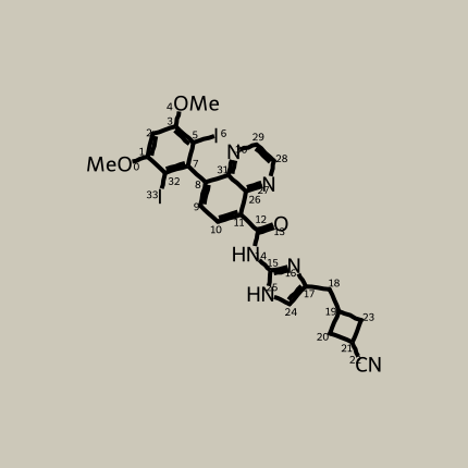 COc1cc(OC)c(I)c(-c2ccc(C(=O)Nc3nc(CC4CC(C#N)C4)c[nH]3)c3nccnc23)c1I